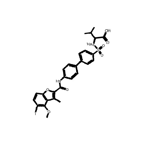 COc1c(I)ccc2oc(C(=O)Nc3ccc(-c4ccc(S(=O)(=O)[AsH]C(C(=O)O)C(C)C)cc4)cc3)c(C)c12